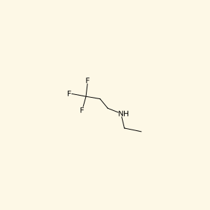 CCNCCC(F)(F)F